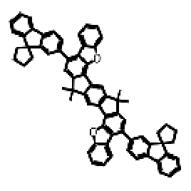 CC1(C)c2cc3c(cc2-c2c1cc(-c1ccc4c(c1)C1(CCCC1)c1ccccc1-4)c1c2oc2ccccc21)C(C)(C)c1cc(-c2ccc4c(c2)C2(CCCC2)c2ccccc2-4)c2c(oc4ccccc42)c1-3